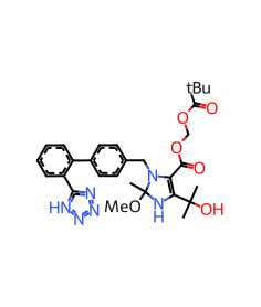 COC1(C)NC(C(C)(C)O)=C(C(=O)OCOC(=O)C(C)(C)C)N1Cc1ccc(-c2ccccc2-c2nnn[nH]2)cc1